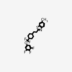 Cc1ccc2nc(CCC3CCC(C(F)(F)Oc4cc(F)c(F)c(F)c4)CC3)sc2c1